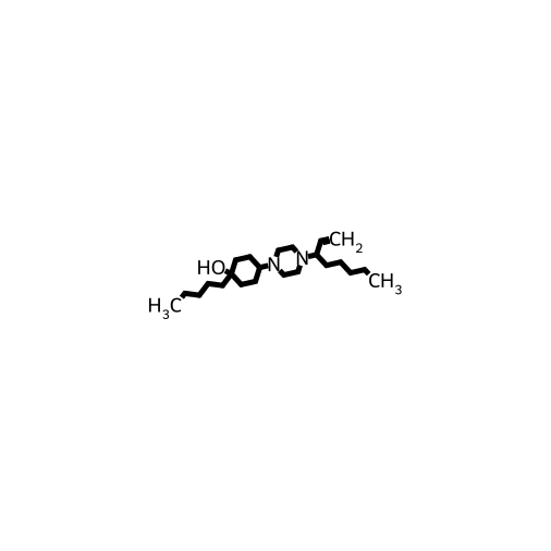 C=CC(CCCCC)N1CCN(C2CCC(O)(CCCCC)CC2)CC1